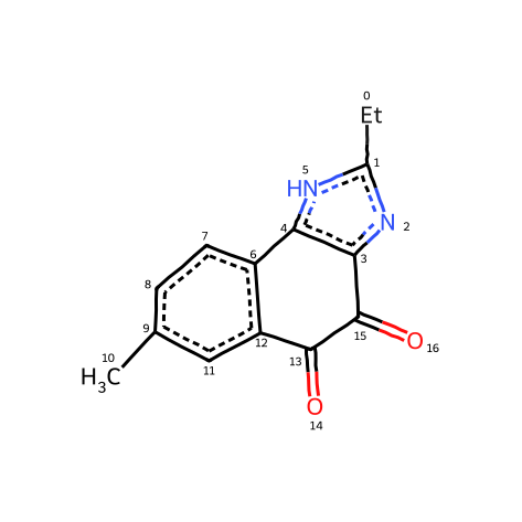 CCc1nc2c([nH]1)-c1ccc(C)cc1C(=O)C2=O